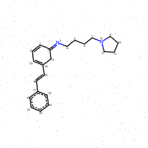 C1=CC(=NCCCCN2CCCC2)CC(C=Cc2ccccc2)=C1